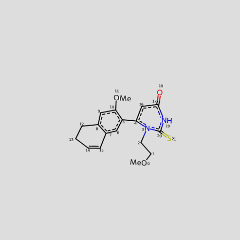 COCCn1c(-c2cc3c(cc2OC)CCC=C3)cc(=O)[nH]c1=S